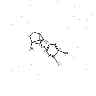 CC12CCC(CC1)C2(C)C.O=C(O)c1ccccc1O